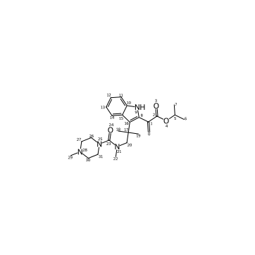 C=C(C(=O)OC(C)C)c1[nH]c2ccccc2c1C(C)(C)CN(C)C(=O)N1CCN(C)CC1